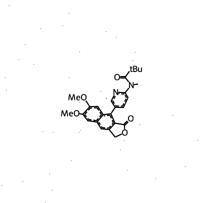 COc1cc2cc3c(c(-c4ccc(N(C)C(=O)C(C)(C)C)nc4)c2cc1OC)C(=O)OC3